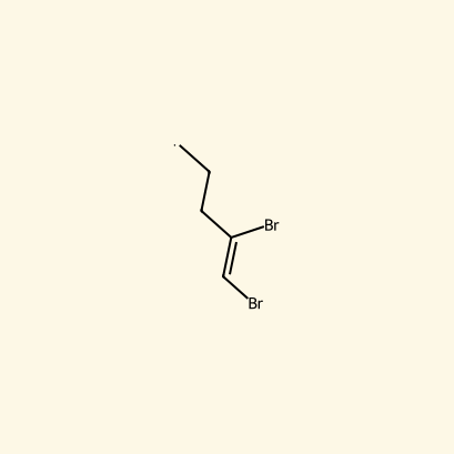 [CH2]CCC(Br)=CBr